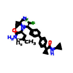 CC(C)C[C@@H](C(N)=O)N([C@@H](c1ccc(-c2ccc(C3(C(=O)NC4CC4)CC3)cc2)cc1)C(F)F)C1(C#N)CC1